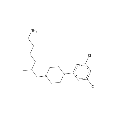 CC(CCCCN)CN1CCN(c2cc(Cl)cc(Cl)c2)CC1